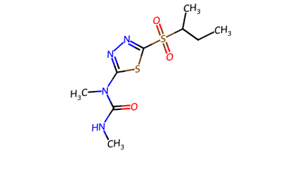 CCC(C)S(=O)(=O)c1nnc(N(C)C(=O)NC)s1